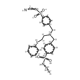 [N-]=[N+]=NS(=O)(=O)c1ccc(CN(CCSc2ccccc2)Cc2ccc(S(=O)(=O)N=[N+]=[N-])cc2)cc1